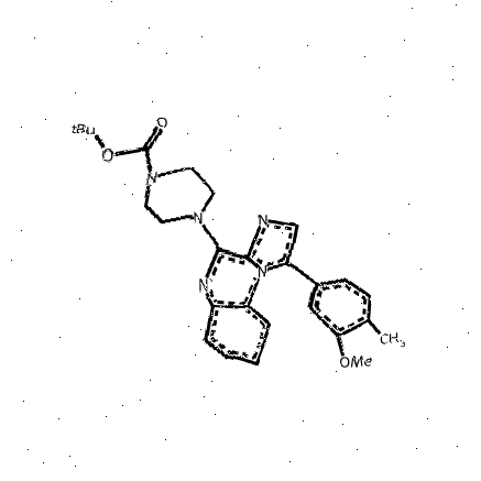 COc1cc(-c2cnc3c(N4CCN(C(=O)OC(C)(C)C)CC4)nc4ccccc4n23)ccc1C